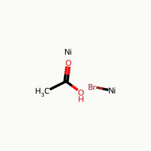 CC(=O)O.[Ni].[Ni][Br]